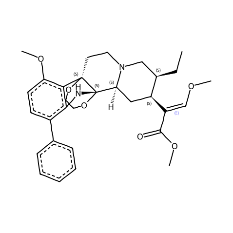 CC[C@@H]1CN2CC[C@@]34OCCO[C@@]3(Nc3c(-c5ccccc5)ccc(OC)c34)[C@@H]2C[C@@H]1/C(=C\OC)C(=O)OC